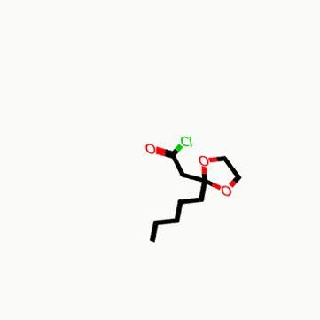 CCCCCC1(CC(=O)Cl)OCCO1